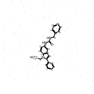 O=C(O)Cn1c(C2=C=C=CC=C2)cc2cc(NC(=O)NCc3ccncc3)ccc21